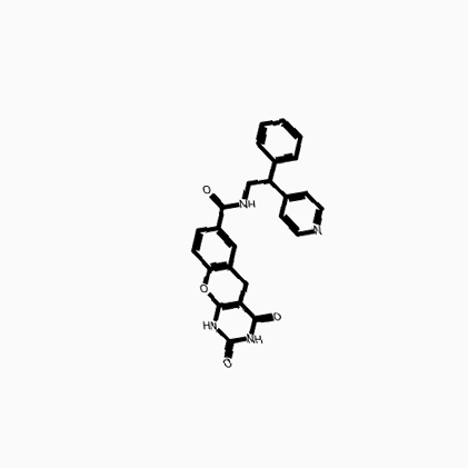 O=C(NCC(c1ccccc1)c1ccncc1)c1ccc2c(c1)Cc1c([nH]c(=O)[nH]c1=O)O2